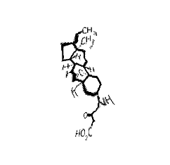 C/C=C1/CC[C@H]2[C@@H]3CC[C@@H]4C[C@H](NC(=O)CC(=O)O)CC[C@]4(C)[C@H]3CC[C@]12C